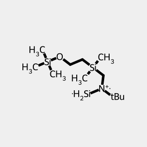 CC(C)(C)[N+]([SiH2])C[Si](C)(C)CCO[Si](C)(C)C